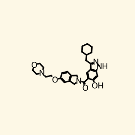 O=C(c1cc2c(CC3CCCCC3)n[nH]c2cc1O)N1Cc2ccc(OCCN3CCOCC3)cc2C1